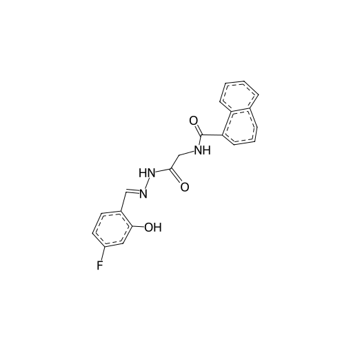 O=C(CNC(=O)c1cccc2ccccc12)NN=Cc1ccc(F)cc1O